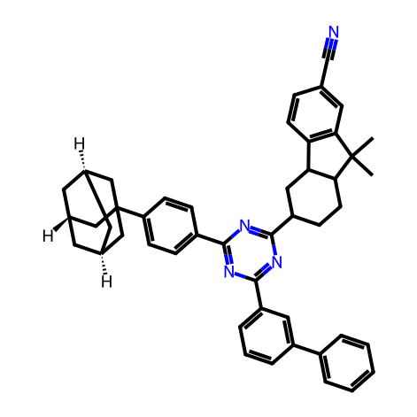 CC1(C)c2cc(C#N)ccc2C2CC(c3nc(-c4ccc(C56C[C@H]7C[C@@H](C5)C[C@@H](C6)C7)cc4)nc(-c4cccc(-c5ccccc5)c4)n3)CCC21